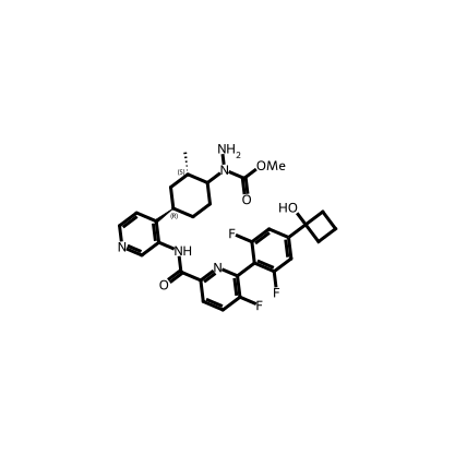 COC(=O)N(N)C1CC[C@@H](c2ccncc2NC(=O)c2ccc(F)c(-c3c(F)cc(C4(O)CCC4)cc3F)n2)C[C@@H]1C